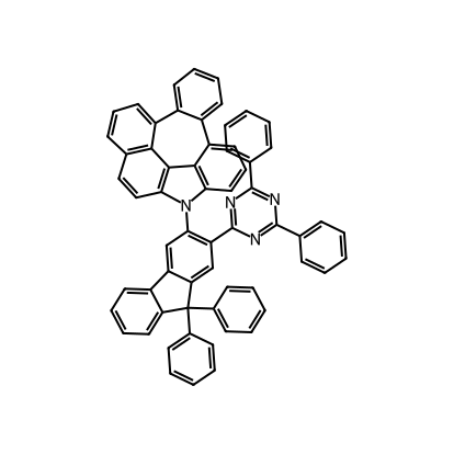 c1ccc(-c2nc(-c3ccccc3)nc(-c3cc4c(cc3-n3c5cccc6c5c5c7c(cccc7ccc53)-c3ccccc3-6)-c3ccccc3C4(c3ccccc3)c3ccccc3)n2)cc1